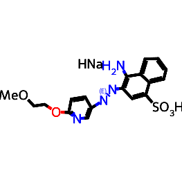 COCCOc1ccc(/N=N/c2cc(S(=O)(=O)O)c3ccccc3c2N)cn1.[NaH]